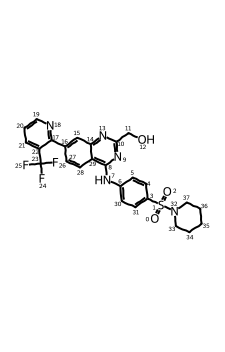 O=S(=O)(c1ccc(Nc2nc(CO)nc3cc(-c4ncccc4C(F)(F)F)ccc23)cc1)N1CCCCC1